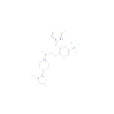 C=NN(Cc1cc(C(F)(F)F)ccc1/C=C/C(=C)N1CCC(N2CCCC2=O)CC1)N=C(C)C